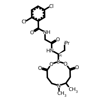 CC(C)C[C@H](NC(=O)CNC(=O)c1cc(Cl)ccc1Cl)B1OC(=O)CCN(C)C(C)CC(=O)O1